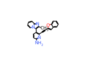 Cc1nc2ccccn2c1-c1ccc(N)nc1C#Cc1cc2ccccc2o1